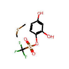 CSC.O=S(=O)(Oc1ccc(O)cc1O)C(F)(F)F